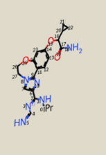 CC(C)N/C(=N\C=N)c1cn2c(n1)-c1ccc(OC(C(N)=O)C3CC3)cc1OCC2